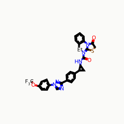 CCc1ccccc1N1C(=O)CS/C1=N\C(=O)NC1CC1c1ccc(-c2ncn(-c3ccc(OC(F)(F)F)cc3)n2)cc1